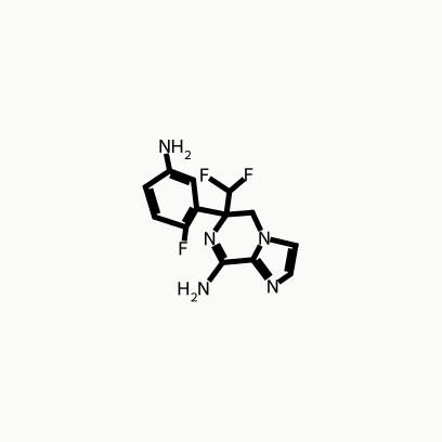 NC1=NC(c2cc(N)ccc2F)(C(F)F)Cn2ccnc21